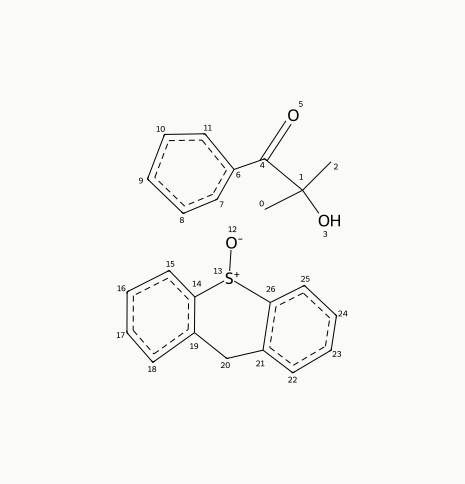 CC(C)(O)C(=O)c1ccccc1.[O-][S+]1c2ccccc2Cc2ccccc21